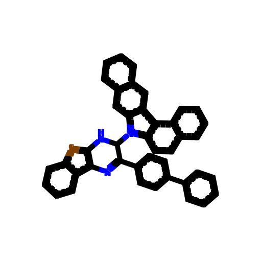 c1ccc(-c2ccc(C3=Nc4c(sc5ccccc45)NC3n3c4cc5ccccc5cc4c4c5ccccc5ccc43)cc2)cc1